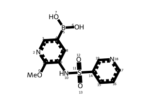 COc1ncc(B(O)O)cc1NS(=O)(=O)c1cccnc1